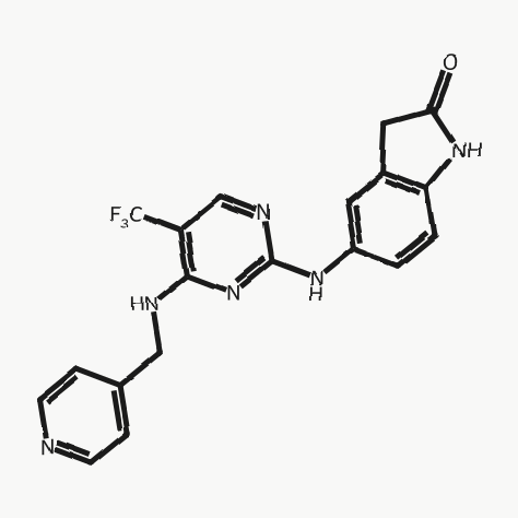 O=C1Cc2cc(Nc3ncc(C(F)(F)F)c(NCc4ccncc4)n3)ccc2N1